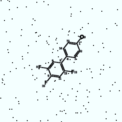 [O]c1ccc(-c2cc(F)c(F)cc2F)cc1